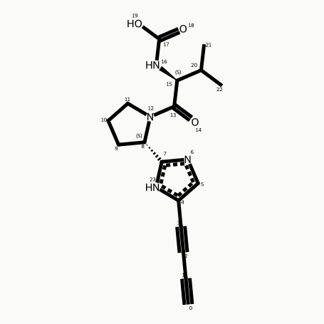 C#CC#Cc1cnc([C@@H]2CCCN2C(=O)[C@@H](NC(=O)O)C(C)C)[nH]1